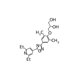 CCc1cc(-c2nc(-c3cc(C)c(OCC(O)CO)c(C)c3)no2)cc(CC)n1